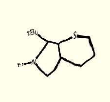 CCN1CC2CCCSC2C1C(C)(C)C